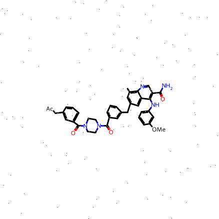 COc1cccc(Nc2c(C(N)=O)cnc3c(C)cc(Cc4cccc(C(=O)N5CCN(C(=O)c6cccc(CC(C)=O)c6)CC5)c4)cc23)c1